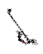 CCCN(CCC)C(=O)C1=Cc2ccc(-c3cccc(S(=O)(=O)N4CC(CNC(=O)OCc5ccc(OC6OC(C(=O)O)C(O)C(O)C6O)c(NC(=O)CCNC(=O)CCOCCOCCOCCOCCOCCOCCOCCOCCOCCOCCC(=O)Oc6c(F)c(F)cc(F)c6F)c5)C4)c3)cc2N=C(N)C1